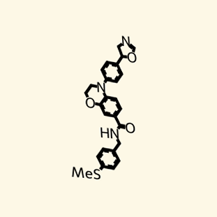 CSc1ccc(CNC(=O)c2ccc3c(c2)OCCN3c2ccc(C3CN=CO3)cc2)cc1